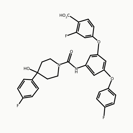 O=C(O)c1ccc(Oc2cc(NC(=O)N3CCC(O)(c4ccc(F)cc4)CC3)cc(Oc3ccc(F)cc3)c2)cc1F